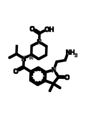 CC(C)N(C(=O)c1ccc2c(c1)N(CCN)C(=O)C2(C)C)[C@@H]1CCCN(C(=O)O)C1